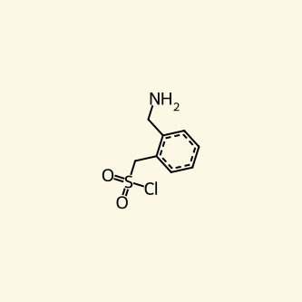 NCc1ccccc1CS(=O)(=O)Cl